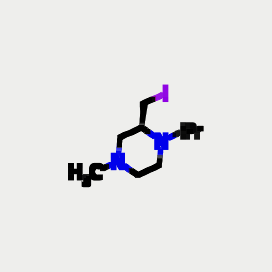 CC(C)N1CCN(C)C[C@H]1CI